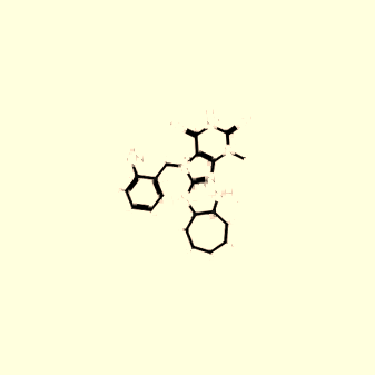 Cn1c(=O)[nH]c(=O)c2c1nc(NC1CCCCCC1N)n2Cc1ccccc1C#N